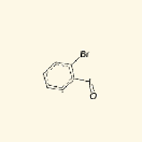 O=Ic1[c]cccc1Br